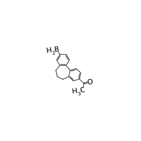 Bc1ccc2c(c1)CCCc1cc(C(C)=O)ccc1-2